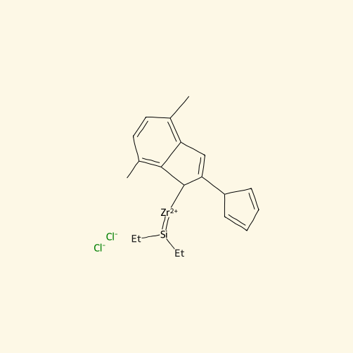 CC[Si](CC)=[Zr+2][CH]1C(C2C=CC=C2)=Cc2c(C)ccc(C)c21.[Cl-].[Cl-]